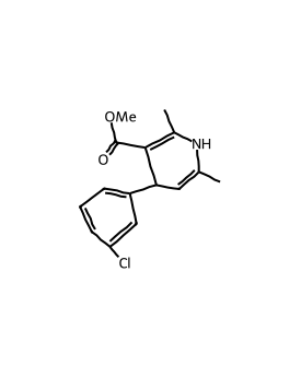 COC(=O)C1=C(C)NC(C)=CC1c1cccc(Cl)c1